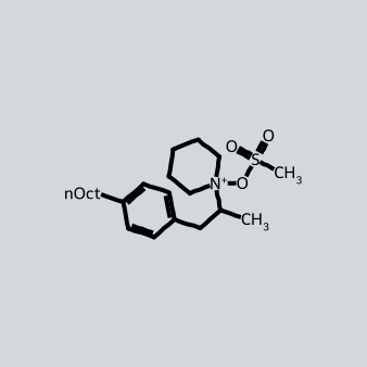 CCCCCCCCc1ccc(CC(C)[N+]2(OS(C)(=O)=O)CCCCC2)cc1